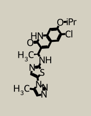 Cc1cnnn1-c1cnc(N[C@@H](C)c2cc3cc(Cl)c(OC(C)C)cc3[nH]c2=O)s1